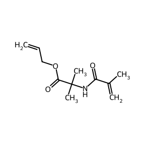 C=CCOC(=O)C(C)(C)NC(=O)C(=C)C